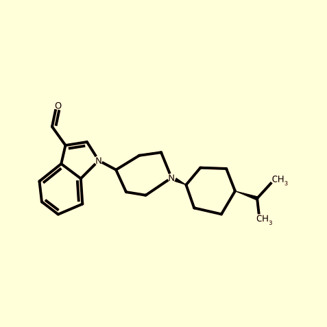 CC(C)[C@H]1CC[C@@H](N2CCC(n3cc(C=O)c4ccccc43)CC2)CC1